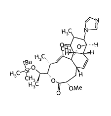 CO[C@H]1C[C@H]2C=C[C@@H]3[C@H]4C(=O)C(C)C(n5ccnc5)[C@@H]3O[C@@]24/C(C)=C/[C@@H](C)[C@@H]([C@@H](C)O[Si](C)(C)C(C)(C)C)OC1=O